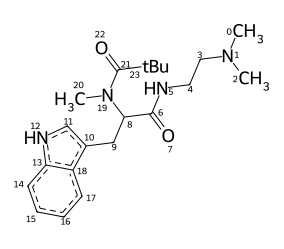 CN(C)CCNC(=O)C(Cc1c[nH]c2ccccc12)N(C)C(=O)C(C)(C)C